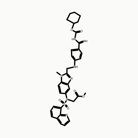 COC(=O)CN(c1ccc2c(c1)nc(CNc1ccc(C(=N)NC(=O)OC3CCCCC3)cc1)n2C)S(=O)(=O)c1cccc2cccnc12